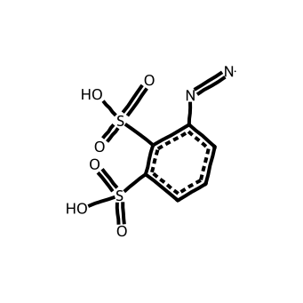 [N]=Nc1cccc(S(=O)(=O)O)c1S(=O)(=O)O